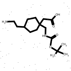 CC(C)(C)OC(=O)NCC1(CC(=O)O)CCC(CCN)CC1